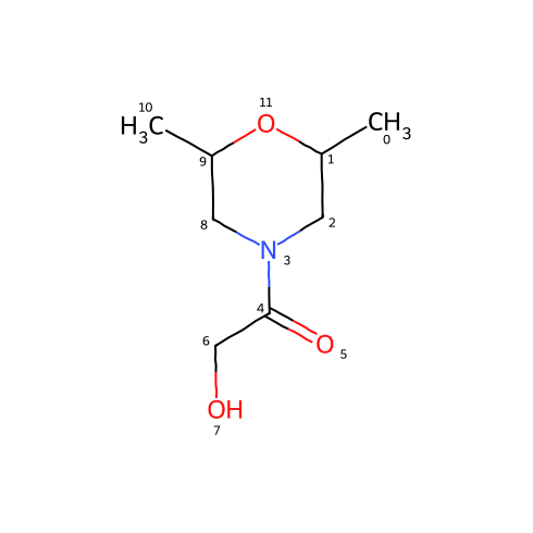 CC1CN(C(=O)CO)CC(C)O1